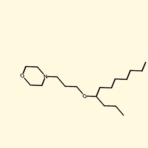 CCCCCCCC(CCC)OCCCN1CCOCC1